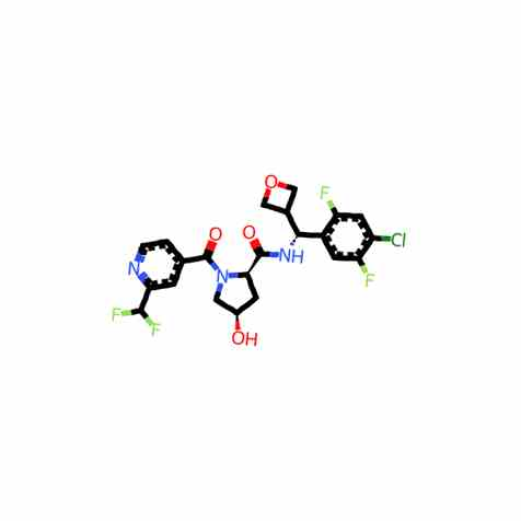 O=C(N[C@@H](c1cc(F)c(Cl)cc1F)C1COC1)[C@H]1C[C@@H](O)CN1C(=O)c1ccnc(C(F)F)c1